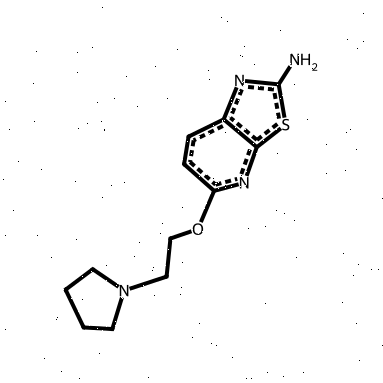 Nc1nc2ccc(OCCN3CCCC3)nc2s1